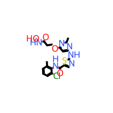 Cc1nc(Nc2ncc(C(=O)Nc3c(C)cccc3Cl)s2)cc(OCCC(=O)NO)n1